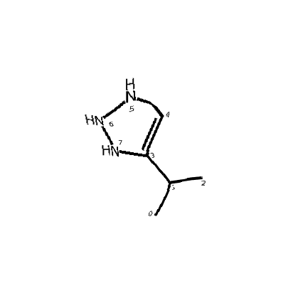 CC(C)C1=CNNN1